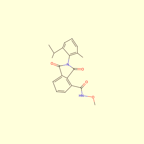 CONC(=O)c1cccc2c1C(=O)N(c1c(C)cccc1C(C)C)C2=O